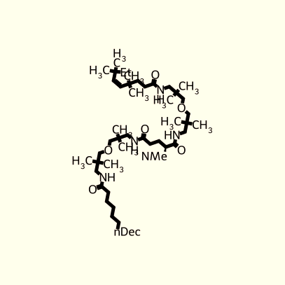 CCCCCCCCCCCCCCCC(=O)NCC(C)(C)COCC(C)(C)CNC(=O)CC[C@H](NC)C(=O)NCC(C)(C)COCC(C)(C)CNC(=O)CCC(C)(C)/C=C\C(C)(C)CC